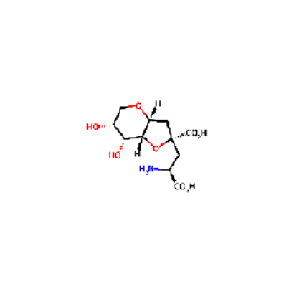 N[C@@H](C[C@]1(C(=O)O)C[C@H]2OC[C@@H](O)[C@@H](O)[C@H]2O1)C(=O)O